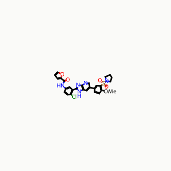 COc1ccc(-c2cnc3nc(-c4cc(NC(=O)c5ccco5)ccc4Cl)[nH]c3c2)cc1S(=O)(=O)N1CCCC1